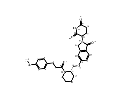 CCOc1ccc(CCC(=O)N2CCCC[C@H]2COc2ccc3c(c2)CN(C2CCC(=O)NC2=O)C3=O)cc1